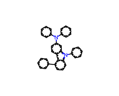 c1ccc(-c2cccc3c2c2ccc(N(c4ccccc4)c4ccccc4)cc2n3-c2ccccc2)cc1